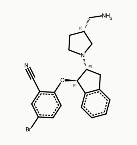 N#Cc1cc(Br)ccc1O[C@@H]1c2ccccc2C[C@H]1N1CC[C@H](CN)C1